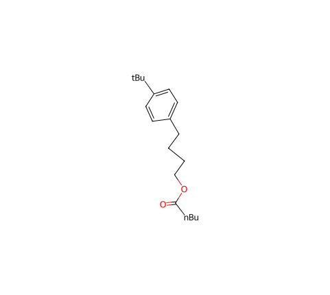 CCCCC(=O)OCCCCc1ccc(C(C)(C)C)cc1